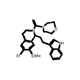 C=C(N1CCOCC1)N1CCc2cc(CC)c(OC)cc2C1CCc1c[nH]c2ccccc12